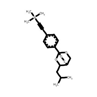 CC(C)CC1OC2(c3ccc(C#C[Si](C)(C)C)cc3)OCC1CO2